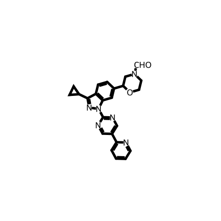 O=CN1CCOC(c2ccc3c(C4CC4)nn(-c4ncc(-c5ccccn5)cn4)c3c2)C1